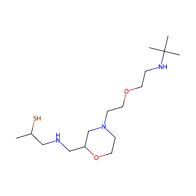 CC(S)CNCC1CN(CCOCCNC(C)(C)C)CCO1